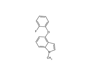 Cn1ccc2c(Oc3ccccc3F)cccc21